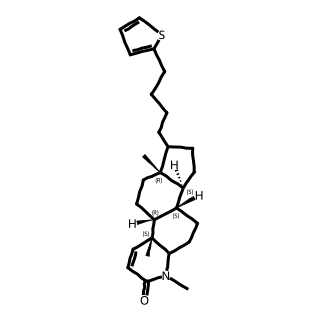 CN1C(=O)C=C[C@@]2(C)C1CC[C@@H]1[C@H]2CC[C@]2(C)C(CCCCc3cccs3)CC[C@@H]12